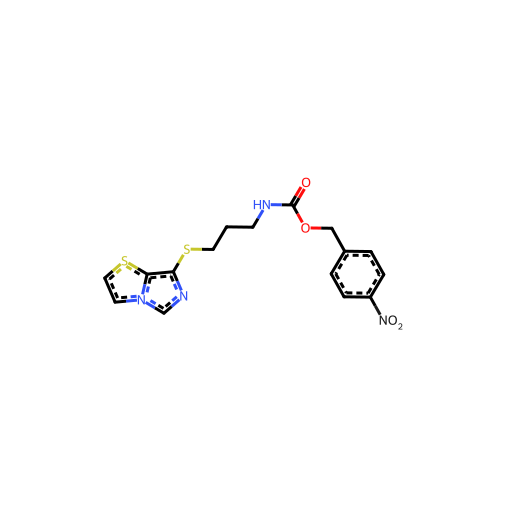 O=C(NCCCSc1ncn2ccsc12)OCc1ccc([N+](=O)[O-])cc1